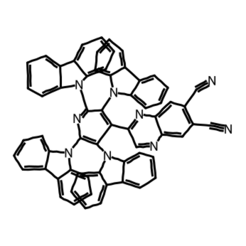 N#Cc1cc2ncc(-c3c(-n4c5ccccc5c5ccccc54)c(-n4c5ccccc5c5ccccc54)nc(-n4c5ccccc5c5ccccc54)c3-n3c4ccccc4c4ccccc43)nc2cc1C#N